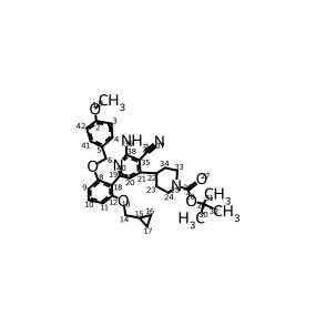 COc1ccc(COc2cccc(OCC3CC3)c2-c2cc(C3CCN(C(=O)OC(C)(C)C)CC3)c(C#N)c(N)n2)cc1